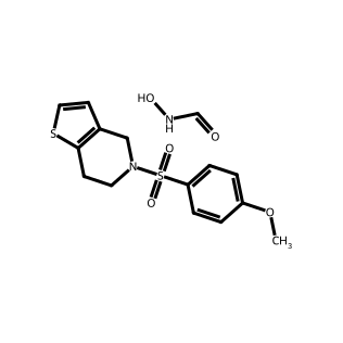 COc1ccc(S(=O)(=O)N2CCc3sccc3C2)cc1.O=CNO